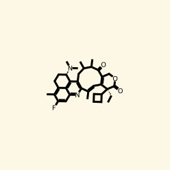 CC[C@@]1(C2CCC2)C(=O)OCC2=C1/C=C(\C)c1nc3cc(F)c(C)c4c3c(c1CC(C)C(C)C2=O)[C@@H](N(C)C)CC4